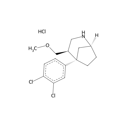 COC[C@H]1CN[C@H]2CC[C@]1(c1ccc(Cl)c(Cl)c1)C2.Cl